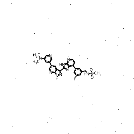 CN(C)c1cncc(-c2cnc3[nH]nc(-c4nc5c(-c6cc(F)cc(CNS(C)(=O)=O)c6)ccnc5[nH]4)c3c2)c1